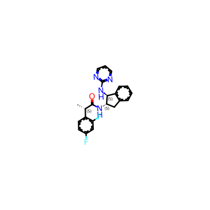 C[C@H](C(=O)N[C@H]1Cc2ccccc2[C@@H]1Nc1ncccn1)c1ccc(F)cc1F